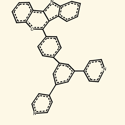 c1ccc2c3c(-c4ccc(-c5cc(-c6ccncc6)cc(-c6ccncc6)c5)cc4)oc4ccccc4c-3nc2c1